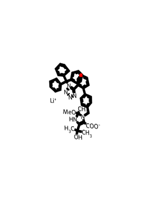 COC1(C)NC(C(C)(C)O)=C(C(=O)[O-])N1Cc1ccc(-c2ccccc2-c2nnnn2C(c2ccccc2)(c2ccccc2)c2ccccc2)cc1.[Li+]